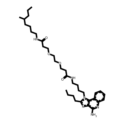 CCCCc1nc2c(N)nc3ccccc3c2n1CCCCNC(=O)CCOCCOCCC(=O)NCCCCC(C)CCC